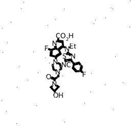 CCN(c1nc(-c2ccc(F)cc2)c(C#N)s1)c1cc(C(=O)O)nc2c(F)cc(N3CCN(CC(=O)N4CC(O)C4)CC3)cc12